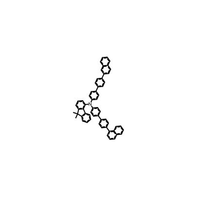 CC1(C)c2ccccc2-c2c(N(c3ccc(-c4ccc(-c5ccc6ccccc6c5)cc4)cc3)c3ccc(-c4ccc(-c5cccc6ccccc56)cc4)cc3)cccc21